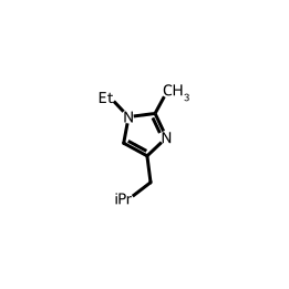 CCn1cc(CC(C)C)nc1C